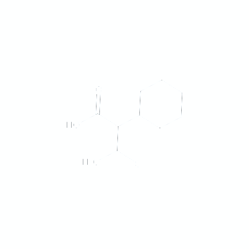 CC(Cl)C(C(=O)O)C1CCCCC1